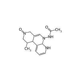 CC(=O)NN1C=C2C[N+](=O)CC(C)C2C2=CC=CNC21